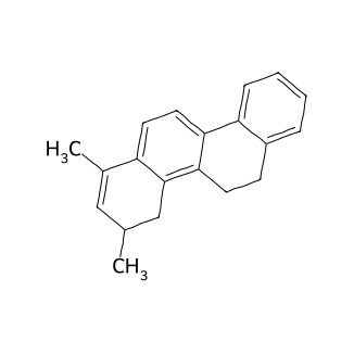 CC1=CC(C)Cc2c1ccc1c2CCc2ccccc2-1